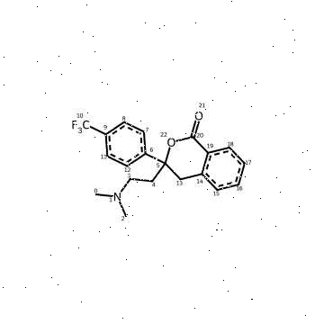 CN(C)CCC1(c2ccc(C(F)(F)F)cc2)Cc2ccccc2C(=O)O1